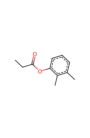 CCC(=O)Oc1[c]ccc(C)c1C